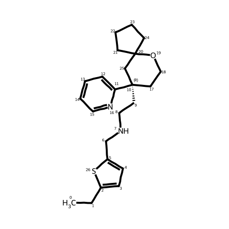 CCc1ccc(CNCC[C@@]2(c3ccccn3)CCOC3(CCCC3)C2)s1